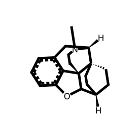 CN1CC[C@]23c4c5cccc4OC2[C@H]2CC[C@@]3(CC2)[C@H]1C5